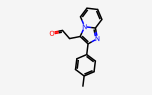 Cc1ccc(-c2nc3ccccn3c2CC=O)cc1